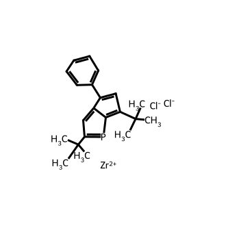 CC(C)(C)C1=PC2=C(C(C)(C)C)C=C(c3ccccc3)C2=C1.[Cl-].[Cl-].[Zr+2]